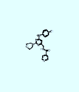 O=C(NCc1cc(Nc2ccc(Cl)cc2)nc(N2CCOCC2)n1)c1ccncc1